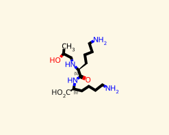 CC(O)CN[C@@H](CCCCN)C(=O)N[C@@H](CCCCN)C(=O)O